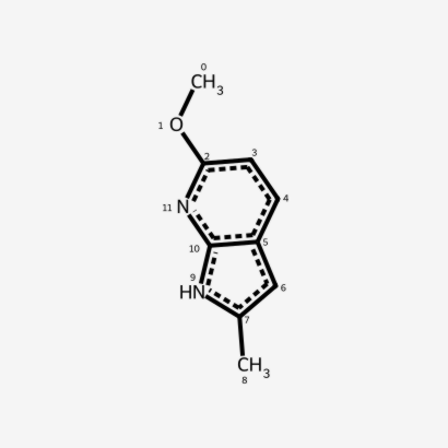 COc1ccc2cc(C)[nH]c2n1